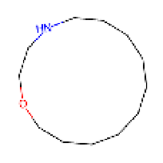 C1CCCCCOCCNCCCC1